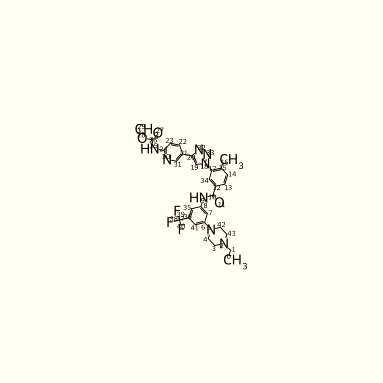 CCN1CCN(c2cc(NC(=O)c3ccc(C)c(-n4cc(-c5ccc(NC(=O)OC)nc5)nn4)c3)cc(C(F)(F)F)c2)CC1